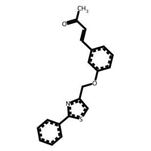 CC(=O)C=Cc1cccc(OCc2csc(-c3ccccc3)n2)c1